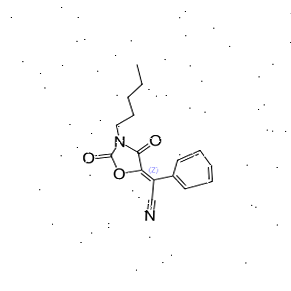 CCCCCN1C(=O)O/C(=C(\C#N)c2ccccc2)C1=O